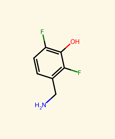 NCc1ccc(F)c(O)c1F